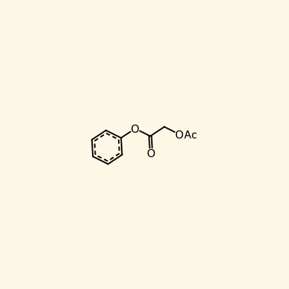 CC(=O)OCC(=O)Oc1ccccc1